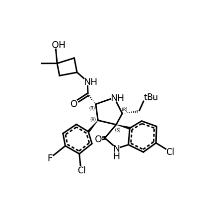 CC(C)(C)C[C@H]1N[C@@H](C(=O)NC2CC(C)(O)C2)[C@H](c2ccc(F)c(Cl)c2)[C@@]12C(=O)Nc1cc(Cl)ccc12